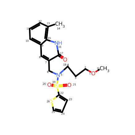 COCCCN(Cc1cc2cccc(C)c2[nH]c1=O)S(=O)(=O)c1cccs1